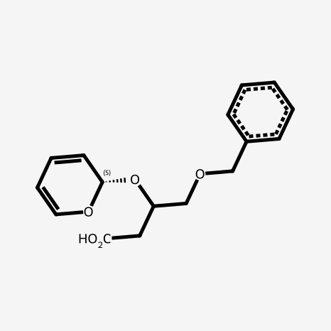 O=C(O)CC(COCc1ccccc1)O[C@H]1C=CC=CO1